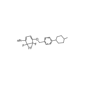 CCCC1=CC=C(OCc2ccc(C3CCC(C)CC3)cc2)C(F)(F)C1(F)F